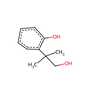 CC(C)(CO)c1ccccc1O